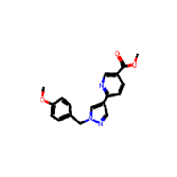 COC(=O)c1ccc(-c2cnn(Cc3ccc(OC)cc3)c2)nc1